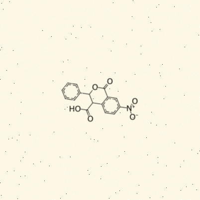 O=C1OC(c2ccccc2)C(C(=O)O)c2ccc([N+](=O)[O-])cc21